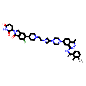 Cc1c([C@@H](C)Nc2nnc(C)c3ccc(N4CCN(C5CN(CCN6CCC(c7cc8c(cc7F)C(=O)N(C7CCC(=O)NC7=O)C8)CC6)C5)CC4)cc23)cccc1C(F)(F)F